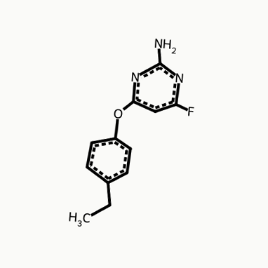 CCc1ccc(Oc2cc(F)nc(N)n2)cc1